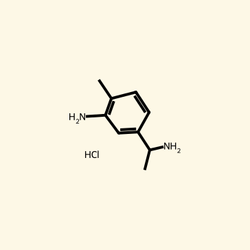 Cc1ccc(C(C)N)cc1N.Cl